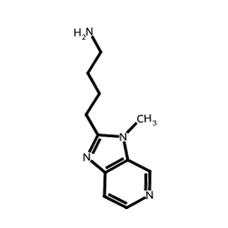 Cn1c(CCCCN)nc2ccncc21